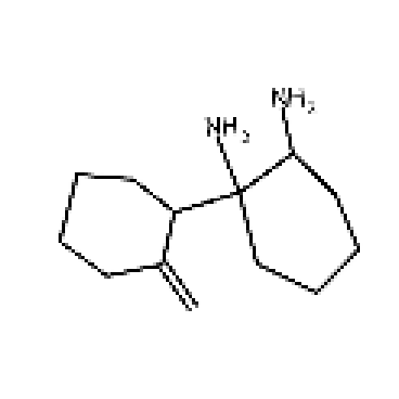 C=C1CCCCC1C1(N)CCCCC1N